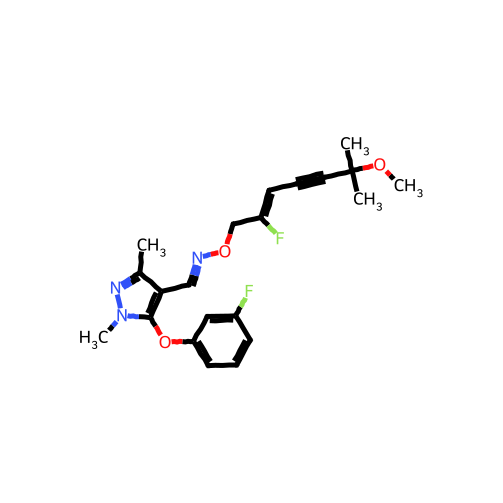 COC(C)(C)C#CC=C(F)CON=Cc1c(C)nn(C)c1Oc1cccc(F)c1